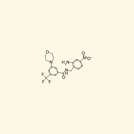 Nc1cc([N+](=O)[O-])ccc1CNC(=O)c1cc(N2CCOCC2)cc(C(F)(F)F)c1